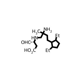 CCC1CCC(CC)C1CCC(C)(N)CN[C@@H](C=O)CC(=O)O